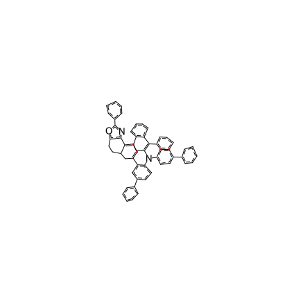 C1=C(c2cc(-c3ccccc3)ccc2N(C2=C(c3ccccc3)c3ccccc3CC2)c2ccc(-c3ccccc3)cc2)CC2CCc3oc(-c4ccccc4)nc3C2=C1